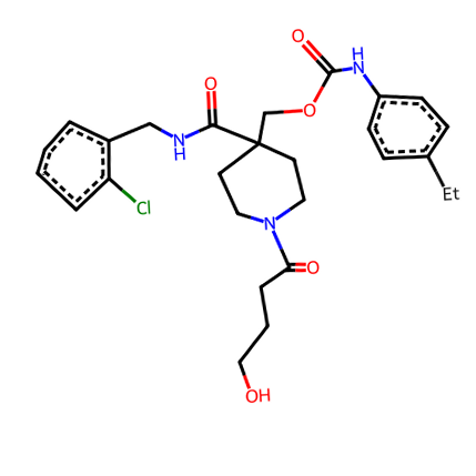 CCc1ccc(NC(=O)OCC2(C(=O)NCc3ccccc3Cl)CCN(C(=O)CCCO)CC2)cc1